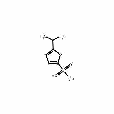 CC(C)c1ccc(S(C)(=O)=O)o1